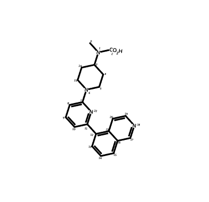 CN(C(=O)O)C1CCN(c2cccc(-c3cccc4cnccc34)n2)CC1